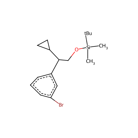 CC(C)(C)[Si](C)(C)OCC(c1cccc(Br)c1)C1CC1